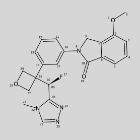 COc1cccc2c1CN(c1cccc(C3([C@@H](F)c4nncn4C)COC3)c1)C2=O